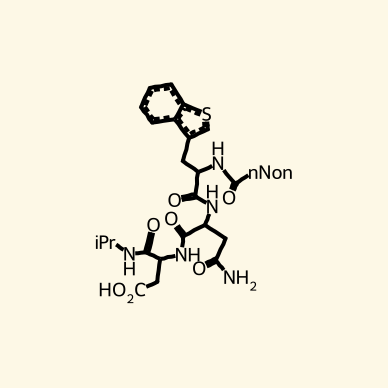 CCCCCCCCCC(=O)NC(Cc1csc2ccccc12)C(=O)NC(CC(N)=O)C(=O)NC(CC(=O)O)C(=O)NC(C)C